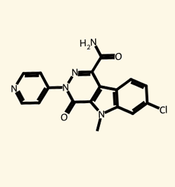 Cn1c2cc(Cl)ccc2c2c(C(N)=O)nn(-c3ccncc3)c(=O)c21